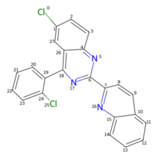 Clc1ccc2nc(-c3ccc4ccccc4n3)nc(-c3ccccc3Cl)c2c1